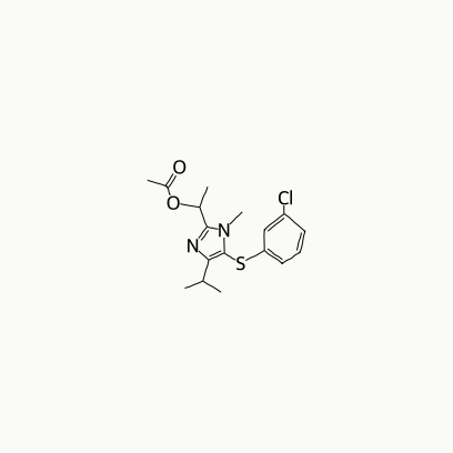 CC(=O)OC(C)c1nc(C(C)C)c(Sc2cccc(Cl)c2)n1C